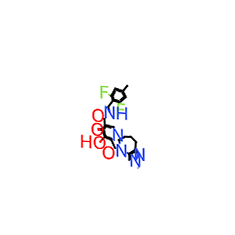 Cc1cc(F)c(CNC(=O)c2cn3c(c(O)c2=O)C(=O)N2CC3CCc3nn(C)cc32)c(F)c1